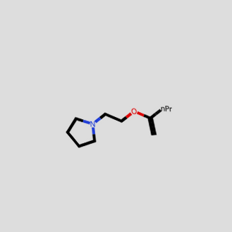 C=C(CCC)OCCN1CCCC1